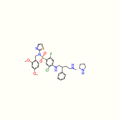 COc1ccc(CN(c2nccs2)S(=O)(=O)c2cc(Cl)c(NCC(CCNC[C@@H]3CCCN3)c3ccccc3)cc2F)c(OC)c1